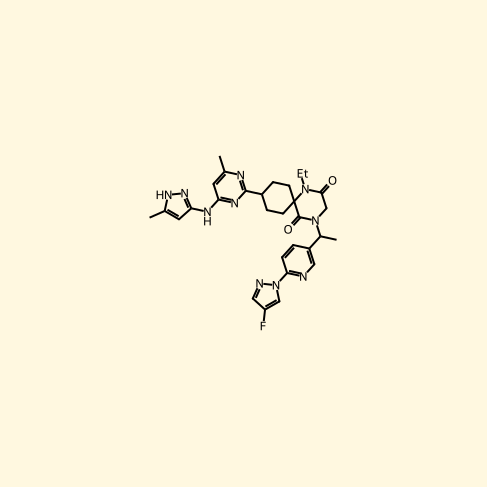 CCN1C(=O)CN(C(C)c2ccc(-n3cc(F)cn3)nc2)C(=O)C12CCC(c1nc(C)cc(Nc3cc(C)[nH]n3)n1)CC2